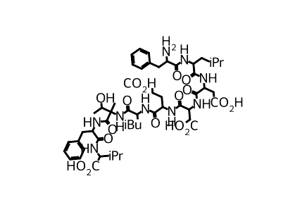 CCC(C)C(NC(=O)C(CCC(=O)O)NC(=O)C(CC(=O)O)NC(=O)C(CC(=O)O)NC(=O)C(CC(C)C)NC(=O)C(N)Cc1ccccc1)C(=O)NC(C)(C(=O)NC(Cc1ccccc1)C(=O)NC(C(=O)O)C(C)C)C(C)O